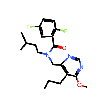 CCCc1c(CN(CCC(C)C)C(=O)c2cc(F)ccc2F)ncnc1OC